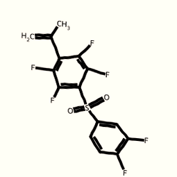 C=C(C)c1c(F)c(F)c(S(=O)(=O)c2ccc(F)c(F)c2)c(F)c1F